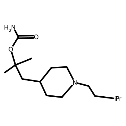 CC(C)CCN1CCC(CC(C)(C)OC(N)=O)CC1